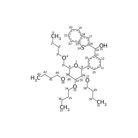 CCCCOCC1OC(c2cccc(C(O)c3cc4ccccc4s3)c2)[C@H](OCCCC)C(OCCCC)[C@@H]1OCCCC